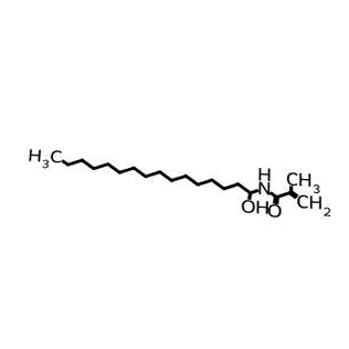 C=C(C)C(=O)NC(O)CCCCCCCCCCCCCCC